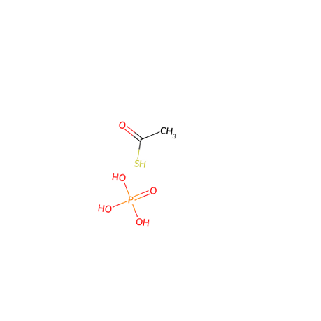 CC(=O)S.O=P(O)(O)O